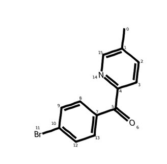 Cc1ccc(C(=O)c2ccc(Br)cc2)nc1